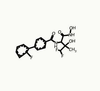 CC(O)(C(F)F)C(NC(=O)c1ccc(-c2ccccc2F)cc1)C(=O)NO